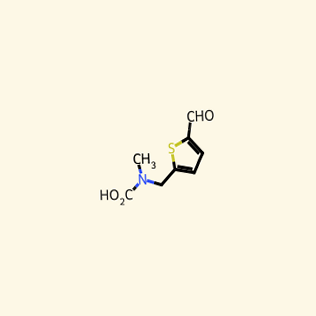 CN(Cc1ccc(C=O)s1)C(=O)O